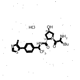 Cc1ncsc1-c1ccc(C(NC(=O)[C@@H]2C[C@@H](O)CN2C(=O)C(N)C(C)(C)C)C(F)(F)F)cc1.Cl